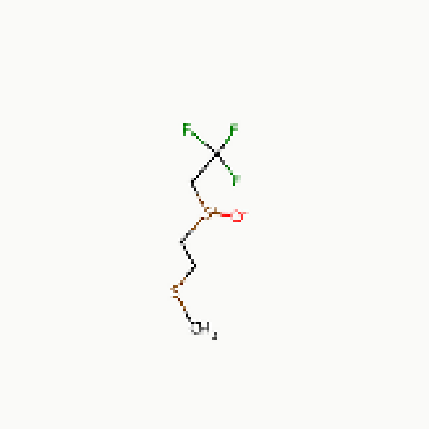 CSCC[S+]([O-])CC(F)(F)F